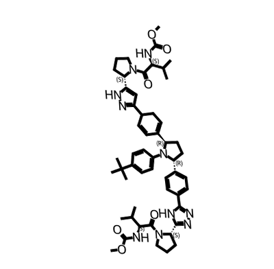 COC(=O)N[C@H](C(=O)N1CCC[C@H]1c1cc(C2C=CC([C@H]3CC[C@H](c4ccc(-c5nnc([C@@H]6CCCN6C(=O)[C@@H](NC(=O)OC)C(C)C)[nH]5)cc4)N3c3ccc(C(C)(C)C)cc3)=CC2)n[nH]1)C(C)C